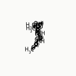 COCc1ccc(C(=O)NC2CCCN(C(=O)Nc3cc4c(=O)n(CC5CC5)c(=O)n(C(C)C)c4cc3F)C2)cc1